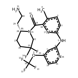 Cc1ccc(Nc2cc(OC(F)(F)F)ccn2)nc1C(=O)N1CC(F)(F)CC[C@@H]1CCN